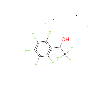 OC(c1c(F)c(F)c(F)c(F)c1F)C(F)(F)F